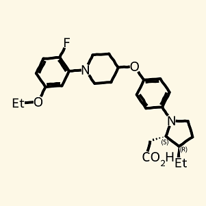 CCOc1ccc(F)c(N2CCC(Oc3ccc(N4CC[C@@H](CC)[C@@H]4CC(=O)O)cc3)CC2)c1